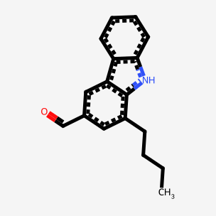 CCCCc1cc(C=O)cc2c1[nH]c1ccccc12